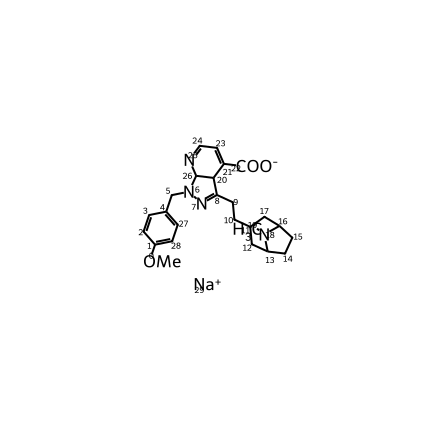 COc1ccc(CN2N=C(CCC3CC4CCC(C3)N4C)C3C(C(=O)[O-])=CC=NC32)cc1.[Na+]